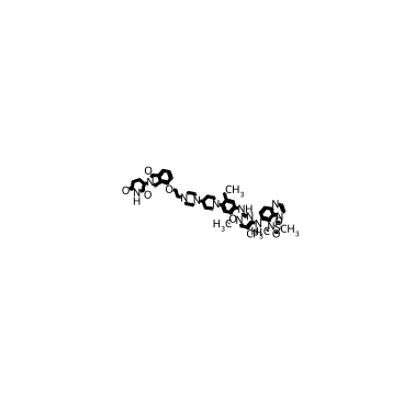 CCc1cc(Nc2ncc(Cl)c(Nc3ccc4nccnc4c3N(C)S(C)(=O)=O)n2)c(OC)cc1N1CCC(N2CCN(CCOc3cccc4c3CN(C3CCC(=O)NC3=O)C4=O)CC2)CC1